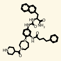 NC(=O)C(Cc1ccc2ccccc2c1)NC(=O)Nc1ccc(N2CCCN(C(=O)C3CCNCC3)CC2)c(NC(=O)CCCc2ccccc2)c1